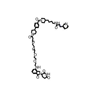 O=C(/C=C/c1cccnc1)NCCCCC1CCN(C(=O)c2ccc(C3CCN(C(=O)CCOCCOCCOCCOCCNc4cccc5c4CN(C4CCC(=O)NC4=O)C5=O)CC3)cc2)CC1